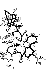 CC[C@H](C)[C@@H](CN(C)C)NC(=O)c1cc(-c2cccc(CN3O[C@H](CO)[C@@H]([C@H](C)O)[C@H]3C(=O)N[C@H]3C[C@H]4C[C@@H]([C@@H]3C)C4(C)C)c2OC)cc(N(C)C)c1